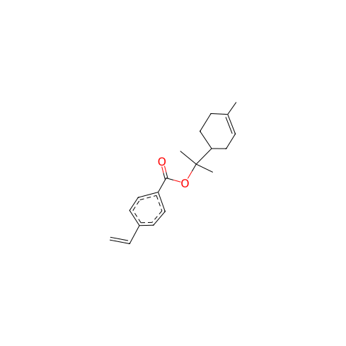 C=Cc1ccc(C(=O)OC(C)(C)C2CC=C(C)CC2)cc1